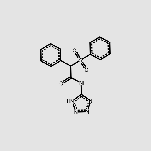 O=C(Nc1nnn[nH]1)C(c1ccccc1)S(=O)(=O)c1ccccc1